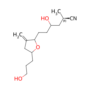 C=C1CC(CCCO)OC1CCC(O)C[C@@H](C)C#N